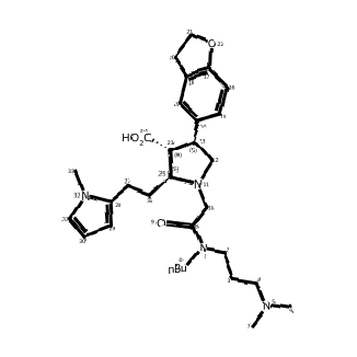 CCCCN(CCCN(C)C)C(=O)CN1C[C@H](c2ccc3c(c2)CCO3)[C@@H](C(=O)O)[C@@H]1CCc1cccn1C